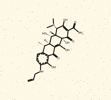 C=CCNc1ccc2c(c1O)C(=O)C1=C(O)[C@]3(O)C(=O)C(C(N)=O)=C(O)[C@@H](N(C)C)[C@H]3[C@@H](O)[C@@H]1[C@H]2C